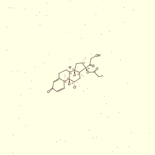 CCC(=O)O[C@]1(C(=O)CO)[C@@H](C)C[C@H]2[C@@H]3CCC4=CC(=O)C=C[C@]4(C)[C@H]3[C@@H](Cl)C[C@@]21C